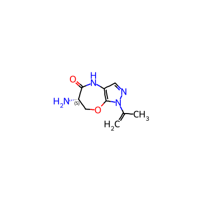 C=C(C)n1ncc2c1OC[C@H](N)C(=O)N2